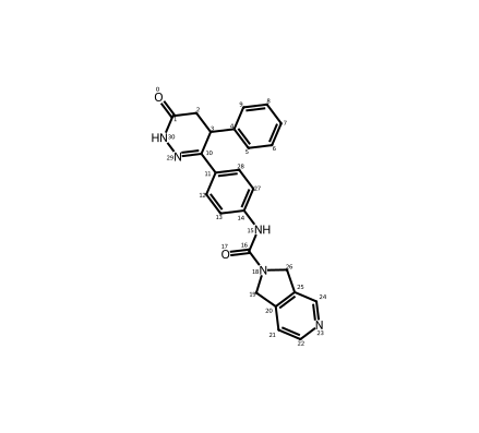 O=C1CC(c2ccccc2)C(c2ccc(NC(=O)N3Cc4ccncc4C3)cc2)=NN1